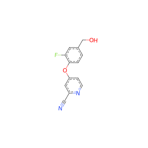 N#Cc1cc(Oc2ccc(CO)cc2F)ccn1